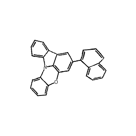 c1ccc2c(c1)Oc1cc(-c3cccc4ccccc34)cc3c4ccccc4n-2c13